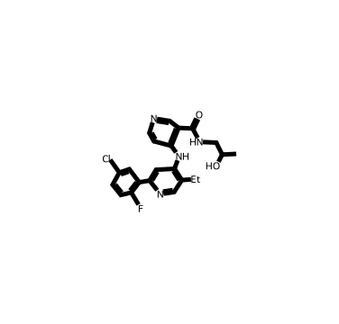 CCc1cnc(-c2cc(Cl)ccc2F)cc1Nc1ccncc1C(=O)NCC(C)O